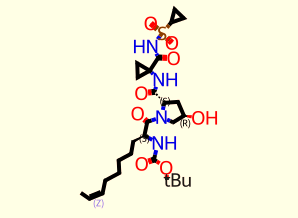 C/C=C\CCCCC[C@H](NC(=O)OC(C)(C)C)C(=O)N1C[C@H](O)C[C@H]1C(=O)NC1(C(=O)NS(=O)(=O)C2CC2)CC1